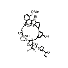 C=CC(=O)N1CC[C@H](C(=O)N(C)[C@H](C(=O)N[C@H]2Cc3cc(O)cc(c3)-c3ccc4c(c3)c(c(-c3c(COC)cccc3COC)n4CC)CC(C)(C)COC(=O)[C@@H]3CCCN(N3)C2=O)C(C)C)C1